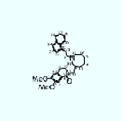 COc1cc2c(cc1OC)C(=O)N(CC1CCCCCN(CCc3cccc4ccccc34)C1)CC2